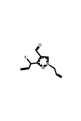 C=CCn1cc(C=O)c(C(F)C=C)n1